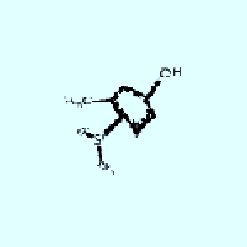 Cc1cc(O)ccc1[S+]([O-])C(F)(F)F